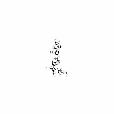 Cc1nc(Cc2[nH]nc(C(F)(F)F)c2-c2cnc(C(=O)NCc3ccc(C(=O)NC4CC(N)C4)c(Cl)c3)[nH]2)cs1